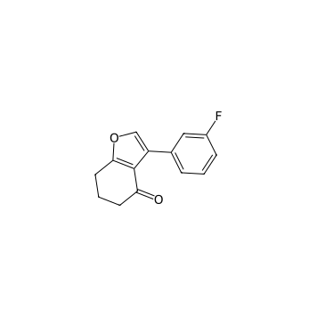 O=C1CCCc2occ(-c3cccc(F)c3)c21